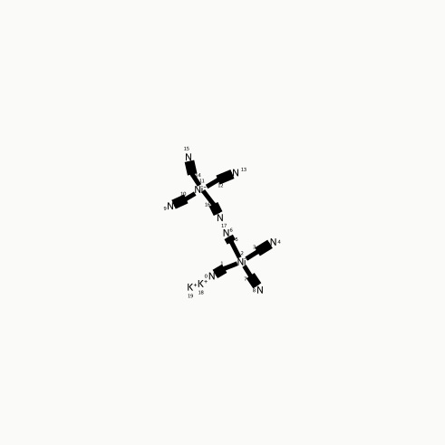 N#[C][Ni-]([C]#N)([C]#N)[C]#N.N#[C][Ni-]([C]#N)([C]#N)[C]#N.[K+].[K+]